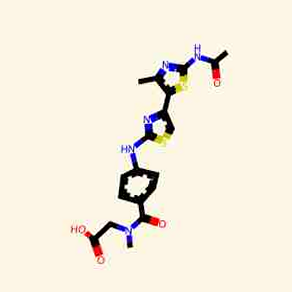 CC(=O)Nc1nc(C)c(-c2csc(Nc3ccc(C(=O)N(C)CC(=O)O)cc3)n2)s1